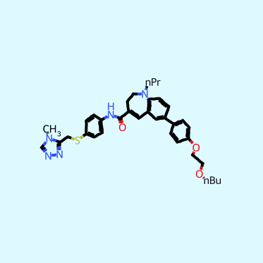 CCCCOCCOc1ccc(-c2ccc3c(c2)C=C(C(=O)Nc2ccc(SCc4nncn4C)cc2)CCN3CCC)cc1